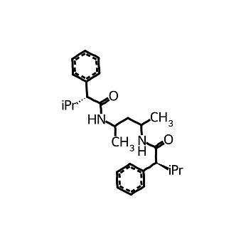 CC(CC(C)NC(=O)[C@@H](c1ccccc1)C(C)C)NC(=O)[C@H](c1ccccc1)C(C)C